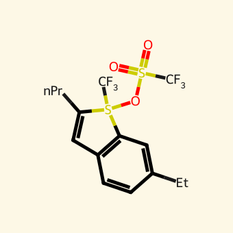 CCCC1=Cc2ccc(CC)cc2S1(OS(=O)(=O)C(F)(F)F)C(F)(F)F